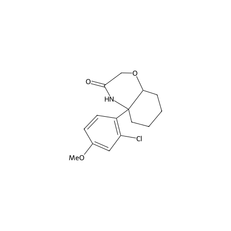 COc1ccc(C23CCCCC2OCC(=O)N3)c(Cl)c1